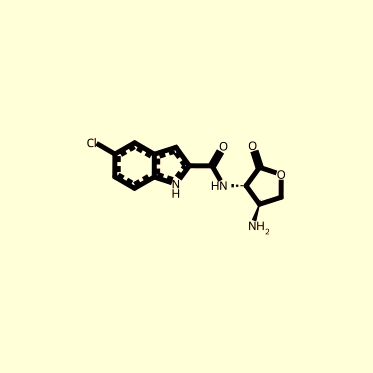 N[C@@H]1COC(=O)[C@H]1NC(=O)c1cc2cc(Cl)ccc2[nH]1